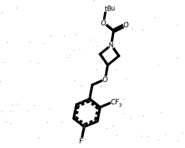 CC(C)(C)OC(=O)N1CC(OCc2ccc(F)cc2C(F)(F)F)C1